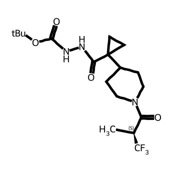 C[C@@H](C(=O)N1CCC(C2(C(=O)NNC(=O)OC(C)(C)C)CC2)CC1)C(F)(F)F